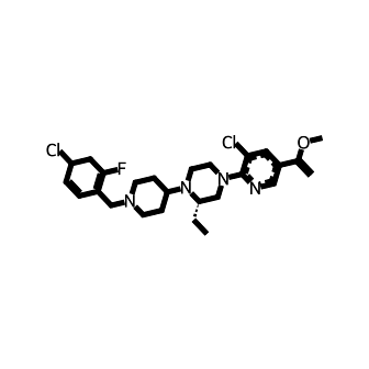 C=C(OC)c1cnc(N2CCN(C3CCN(CC4=C(F)CC(Cl)C=C4)CC3)[C@@H](CC)C2)c(Cl)c1